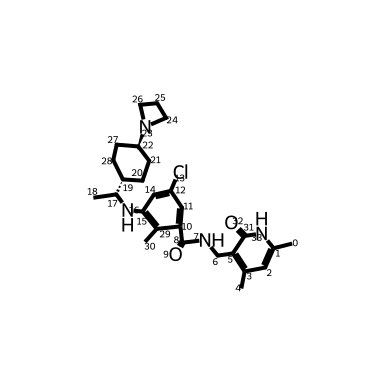 Cc1cc(C)c(CNC(=O)c2cc(Cl)cc(NC(C)[C@H]3CC[C@H](N4CCC4)CC3)c2C)c(=O)[nH]1